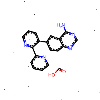 Nc1ncnc2ccc(-c3cccnc3-c3ccccn3)cc12.O=CO